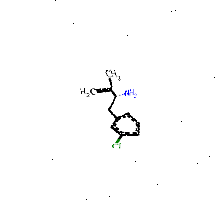 C=C(C)[C@H](N)Cc1cccc(Cl)c1